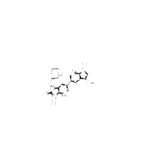 COc1c[nH]c2ncc(-c3cnc4[nH]c(=O)n(C[C@H]5COCCO5)c4c3)cc12